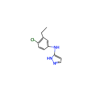 CCc1cc(Nc2ccn[nH]2)ccc1Cl